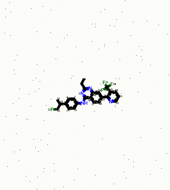 CCc1nc(Nc2ccc(C(C)CF)cc2)c2ccc(-c3ncccc3C(F)(F)F)cc2n1